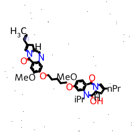 C/C=C/C1=CN2C(=O)c3cc(OC)c(OCCCCCOc4cc5c(cc4OC)C(=O)N4C=C(CCC)C[C@H]4C(O)N5C(C)C)cc3N=C[C@@H]2C1